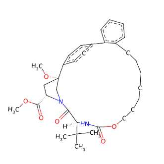 COC(=O)[C@@H]1C[C@]2(OC)CN1C(=O)[C@H](C(C)(C)C)NC(=O)OCCCCCCCc1ccccc1-c1ccc2cc1